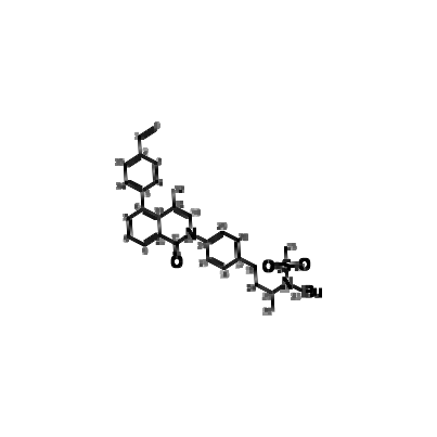 C=Cc1ccc(-c2cccc3c(=O)n(-c4ccc(CCC(C)N(C(C)CC)S(C)(=O)=O)cc4)cc(C)c23)cc1